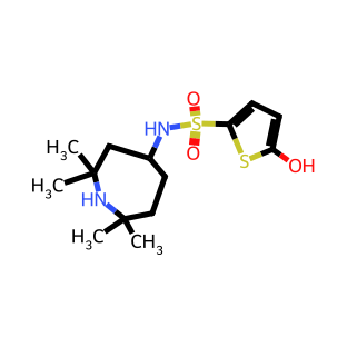 CC1(C)CCC(NS(=O)(=O)c2ccc(O)s2)CC(C)(C)N1